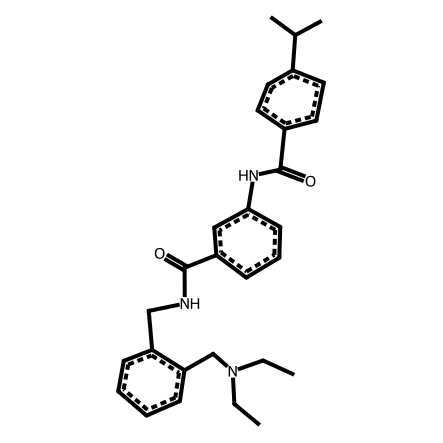 CCN(CC)Cc1ccccc1CNC(=O)c1cccc(NC(=O)c2ccc(C(C)C)cc2)c1